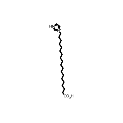 O=C(O)CCCCCCCCCCCCCCCCCC[n+]1cc[nH]c1